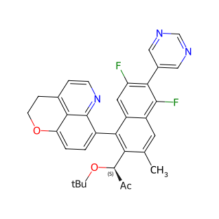 CC(=O)[C@@H](OC(C)(C)C)c1c(C)cc2c(F)c(-c3cncnc3)c(F)cc2c1-c1ccc2c3c(ccnc13)CCO2